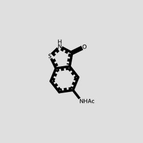 CC(=O)Nc1ccc2s[nH]c(=O)c2c1